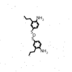 CCCc1cc(SOSc2ccc(N)c(CCC)c2)ccc1N